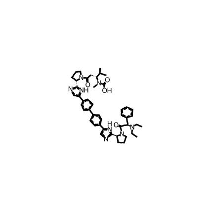 CCN(CC)[C@@H](C(=O)N1CCC[C@H]1c1ncc(-c2ccc(-c3ccc(-c4cnc([C@@H]5CCCN5C(=O)C[C@H](C(C)C)N(C)C(=O)O)[nH]4)cc3)cc2)[nH]1)c1ccccc1